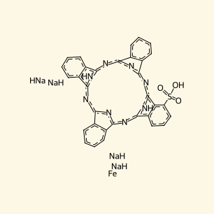 O=S(=O)(O)c1cccc2c3nc4nc(nc5[nH]c(nc6nc(nc([nH]3)c12)-c1ccccc1-6)c1ccccc51)-c1ccccc1-4.[Fe].[NaH].[NaH].[NaH].[NaH]